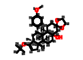 COc1ccc([C@H]2C[C@]3(C)C(O[Si](C)(C)C)=CC[C@H]3[C@@H]3CC[C@@]4(O)CC5(CC[C@@H]4[C@H]32)OCCO5)cc1